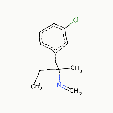 C=NC(C)(CC)c1cccc(Cl)c1